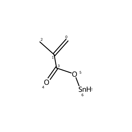 C=C(C)C(=O)[O][SnH]